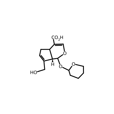 O=C(O)C1=COC(OC2CCCCO2)[C@@H]2C(CO)=CCC12